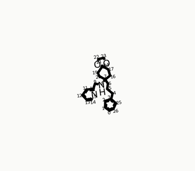 c1ccc(CCCC2(NCc3ccccn3)CCC3(CC2)OCCO3)cc1